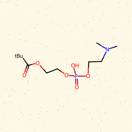 CN(C)CCOP(=O)(O)OCCOC(=O)C(C)(C)C